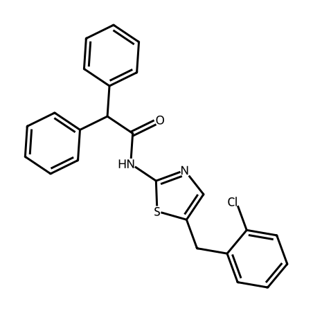 O=C(Nc1ncc(Cc2ccccc2Cl)s1)C(c1ccccc1)c1ccccc1